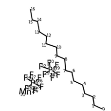 CCCCCCCCCCCCCCCCC.F[P-](F)(F)(F)(F)F.F[P-](F)(F)(F)(F)F.[Mn+2]